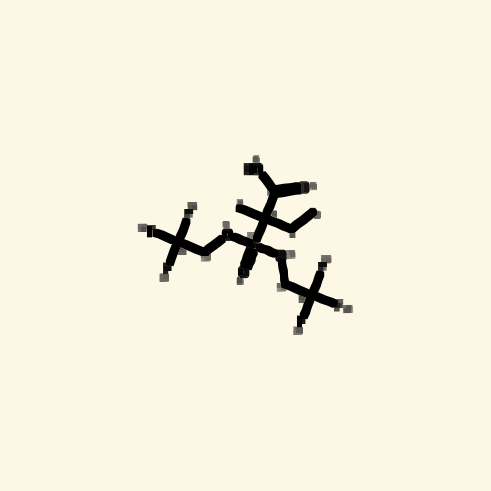 CCC(C)(C(=O)O)P(=O)(OCC(F)(F)F)OCC(F)(F)F